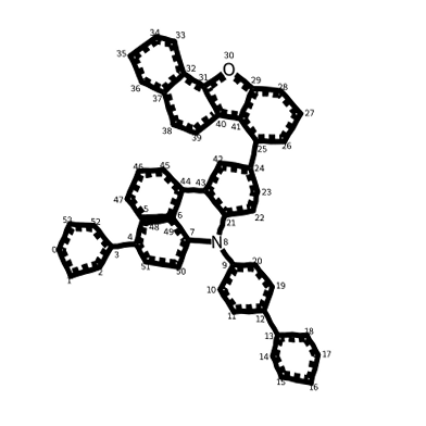 c1ccc(-c2ccc(N(c3ccc(-c4ccccc4)cc3)c3ccc(-c4cccc5oc6c7ccccc7ccc6c45)cc3-c3ccccc3)cc2)cc1